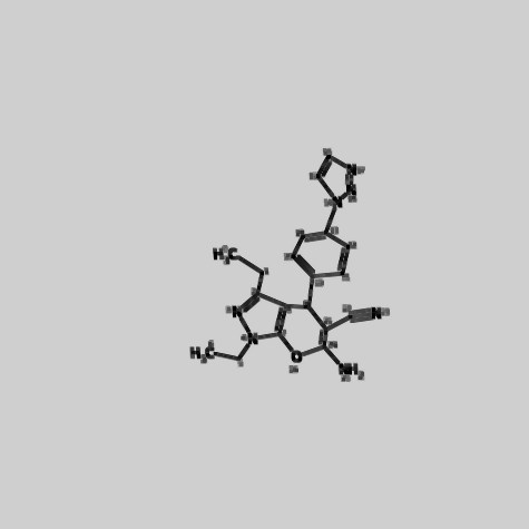 CCc1nn(CC)c2c1C(c1ccc(-n3ccnn3)cc1)C(C#N)=C(N)O2